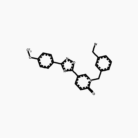 O=c1ccc(-c2nc(-c3ccc(OC(F)(F)F)cc3)no2)cn1Cc1cccc(CBr)c1